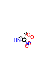 CC(C)(C)OC=O.O=[N+]([O-])c1ccc2c(c1)NCC2